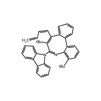 C=C\C=C/C1=C(C(C)(C)C)/C(n2c3ccccc3c3ccccc32)=N\c2c(cccc2C(C)(C)C)-c2ccccc21